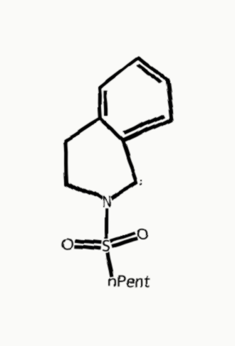 CCCCCS(=O)(=O)N1[C]c2ccccc2CC1